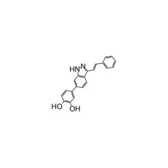 Oc1ccc(-c2ccc3c(/C=C/c4ccccc4)n[nH]c3c2)cc1O